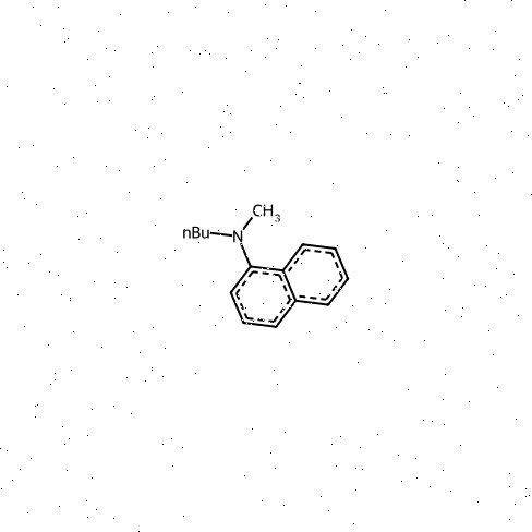 CCCCN(C)c1cccc2ccccc12